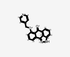 O=C1c2c(OCc3ccncc3)cccc2-c2n[nH]c3cccc1c23